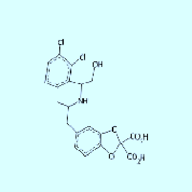 CC(Cc1ccc2c(c1)OC(C(=O)O)(C(=O)O)O2)NC(CO)c1cccc(Cl)c1Cl